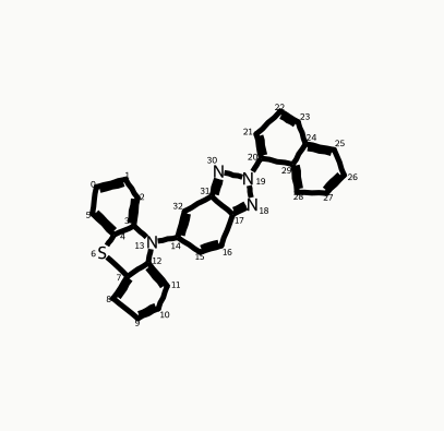 c1ccc2c(c1)Sc1ccccc1N2c1ccc2nn(-c3cccc4ccccc34)nc2c1